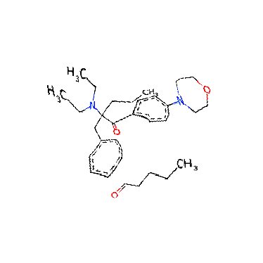 CCCC(Cc1ccccc1)(C(=O)c1ccc(N2CCOCC2)cc1)N(CC)CC.CCCCC=O